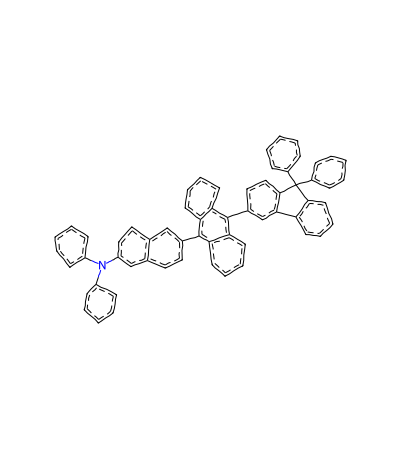 c1ccc(N(c2ccccc2)c2ccc3cc(-c4c5ccccc5c(-c5ccc6c(c5)-c5ccccc5C6(c5ccccc5)c5ccccc5)c5ccccc45)ccc3c2)cc1